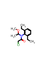 CCc1cccc(CC)c1N(C(=O)CCl)C(C)OC